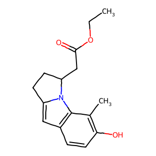 CCOC(=O)CC1CCc2cc3ccc(O)c(C)c3n21